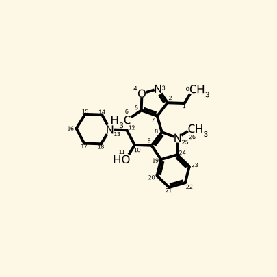 CCc1noc(C)c1-c1c(C(O)CN2CCCCC2)c2ccccc2n1C